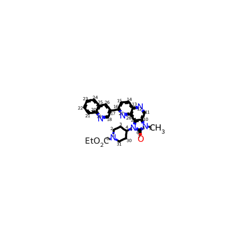 CCOC(=O)N1CCC(n2c(=O)n(C)c3cnc4ccc(-c5cnc6ccccc6c5)nc4c32)CC1